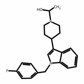 [CH2]C(O)N1CCC(c2cn(Cc3ccc(F)cc3)c3ccccc23)CC1